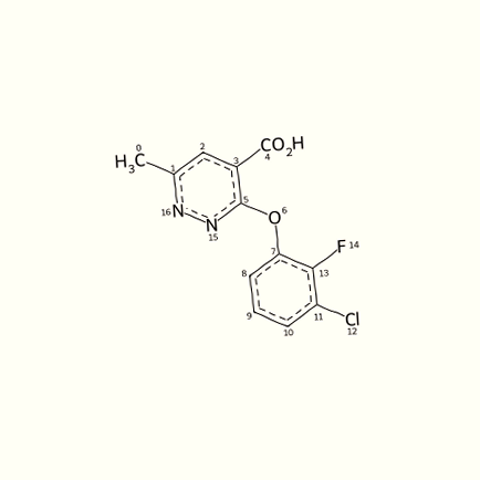 Cc1cc(C(=O)O)c(Oc2cccc(Cl)c2F)nn1